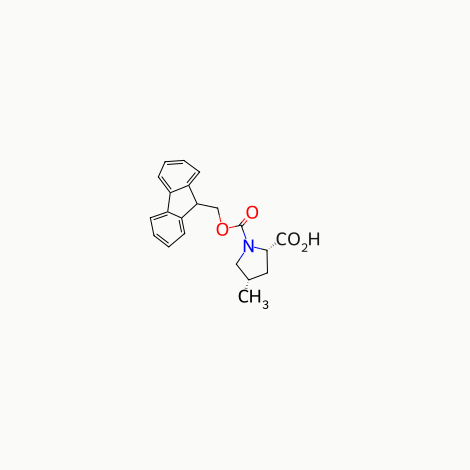 C[C@H]1C[C@@H](C(=O)O)N(C(=O)OCC2c3ccccc3-c3ccccc32)C1